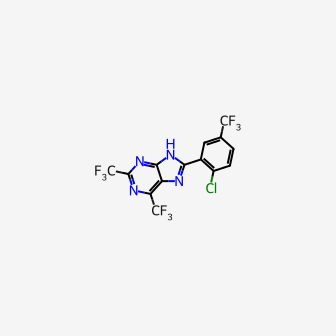 FC(F)(F)c1ccc(Cl)c(-c2nc3c(C(F)(F)F)nc(C(F)(F)F)nc3[nH]2)c1